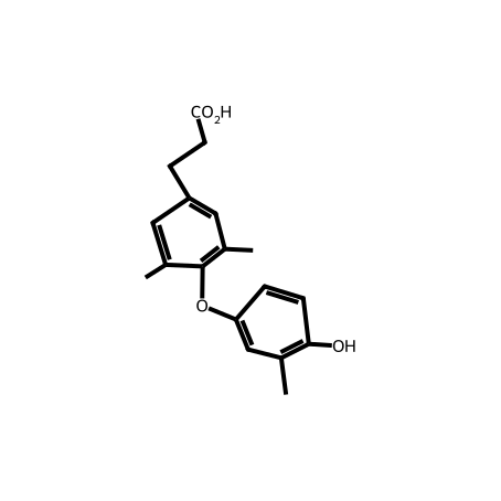 Cc1cc(Oc2c(C)cc(CCC(=O)O)cc2C)ccc1O